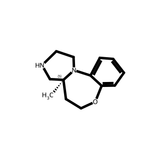 C[C@@]12CCOc3ccccc3N1CCNC2